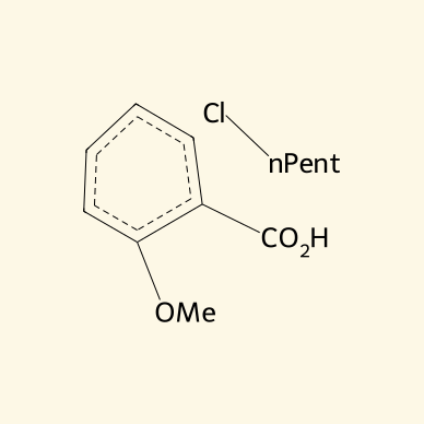 CCCCCCl.COc1ccccc1C(=O)O